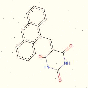 O=C1NC(=O)C(=Cc2c3ccccc3cc3ccccc23)C(=O)N1